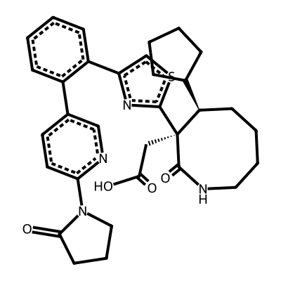 O=C(O)C[C@@]1(c2nc(-c3ccccc3-c3ccc(N4CCCC4=O)nc3)cs2)C(=O)NCCCC[C@@H]1C1CCCC1